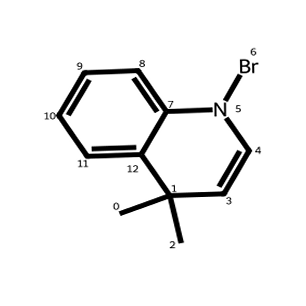 CC1(C)C=CN(Br)c2ccccc21